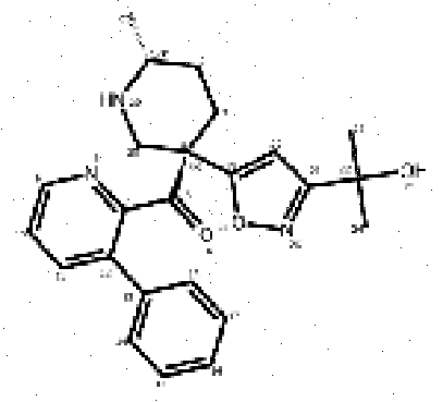 C[C@@H]1CC[C@](C(=O)c2ncccc2-c2ccccc2)(c2cc(C(C)(C)O)no2)CN1